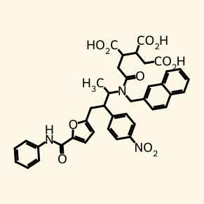 CC(C(Cc1ccc(C(=O)Nc2ccccc2)o1)c1ccc([N+](=O)[O-])cc1)N(Cc1ccc2ccccc2c1)C(=O)CC(C(=O)O)C(CC(=O)O)C(=O)O